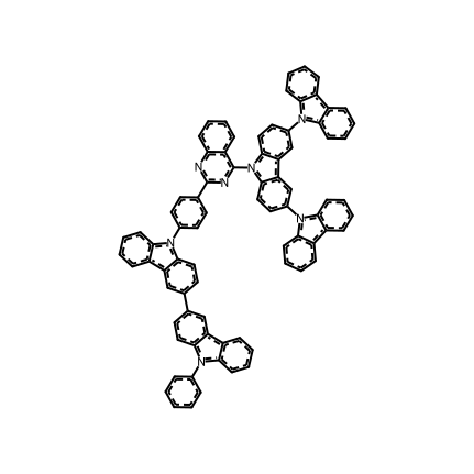 c1ccc(-n2c3ccccc3c3cc(-c4ccc5c(c4)c4ccccc4n5-c4ccc(-c5nc(-n6c7ccc(-n8c9ccccc9c9ccccc98)cc7c7cc(-n8c9ccccc9c9ccccc98)ccc76)c6ccccc6n5)cc4)ccc32)cc1